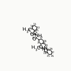 COc1cc(C(=O)N[S+]([O-])c2ccccc2C)ccc1Cn1ncc2ccccc21